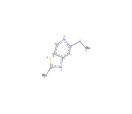 CC(C)(C)Cc1cc2nc(C(C)(C)C)sc2cn1